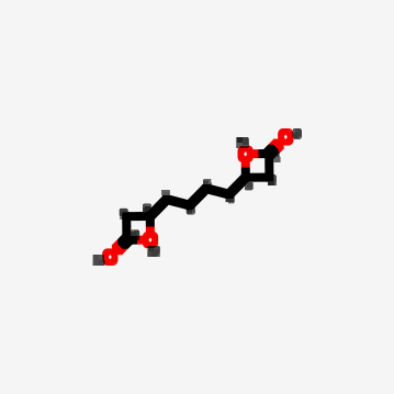 O=C1CC(CCCCC2CC(=O)O2)O1